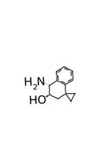 N[C@@H]1c2ccccc2C2(CC2)C[C@H]1O